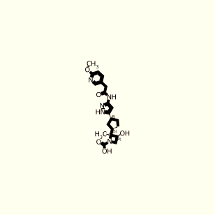 COc1ccc(CC(=O)Nc2cc([C@@H]3CC[C@H]([C@@]4(C)[C@H](O)CN4C(=O)O)C3)[nH]n2)cn1